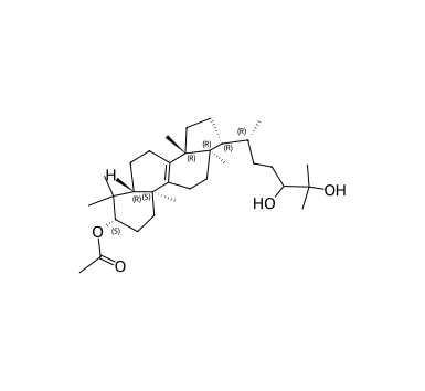 CC(=O)O[C@H]1CC[C@]2(C)C3=C(CC[C@H]2C1(C)C)[C@]1(C)CC[C@H]([C@H](C)CCC(O)C(C)(C)O)[C@@]1(C)CC3